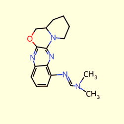 CN(C)C=Nc1cccc2nc3c(nc12)N1CCCCC1CO3